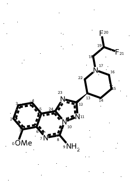 COc1cccc2c1nc(N)n1nc([C@@H]3CCCN(CC(F)F)C3)nc21